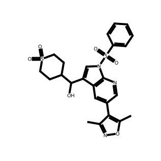 Cc1noc(C)c1-c1cnc2c(c1)c(C(O)C1CCS(=O)(=O)CC1)cn2S(=O)(=O)c1ccccc1